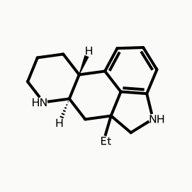 CCC12CNc3cccc(c31)[C@H]1CCCN[C@@H]1C2